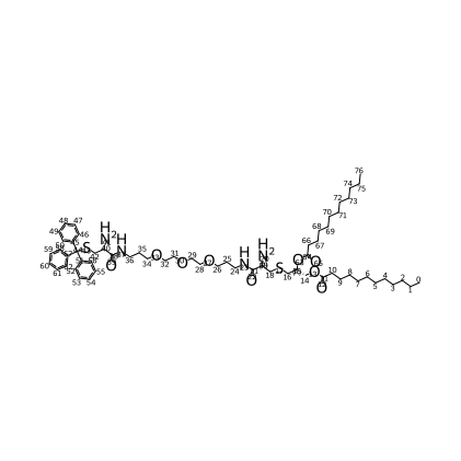 CCCCCCCCCCCC(=O)OC[C@H](CSC[C@H](N)C(=O)NCCCOCCOCCOCCCNC(=O)C(N)CSC(c1ccccc1)(c1ccccc1)c1ccccc1)OC(=O)CCCCCCCCCCC